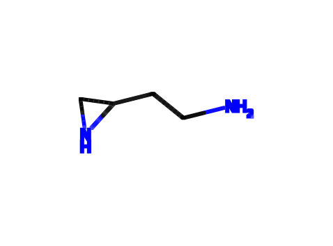 NCCC1CN1